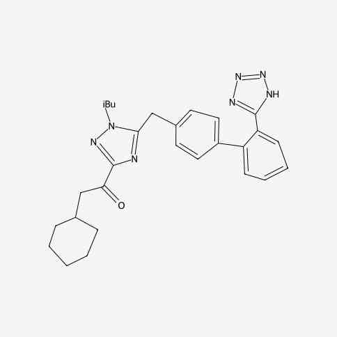 CCC(C)n1nc(C(=O)CC2CCCCC2)nc1Cc1ccc(-c2ccccc2-c2nnn[nH]2)cc1